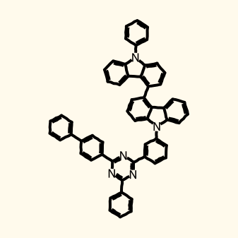 c1ccc(-c2ccc(-c3nc(-c4ccccc4)nc(-c4cccc(-n5c6ccccc6c6c(-c7cccc8c7c7ccccc7n8-c7ccccc7)cccc65)c4)n3)cc2)cc1